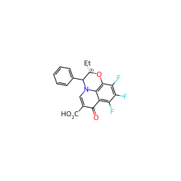 CC[C@@H]1Oc2c(F)c(F)c(F)c3c(=O)c(C(=O)O)cn(c23)C1c1ccccc1